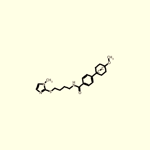 COC12CCC(c3ccc(C(=O)N[CH]CCCSc4nccn4C)cc3)(CC1)CC2